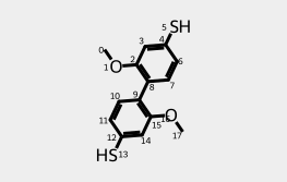 COc1cc(S)ccc1-c1ccc(S)cc1OC